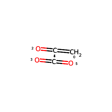 C=C=O.O=C=O